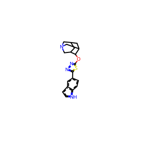 c1cc2cc(-c3nnc(OC4C5CC6CC4CN(C6)C5)s3)ccc2[nH]1